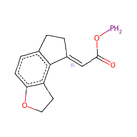 O=C(/C=C1\CCc2ccc3c(c21)CCO3)OP